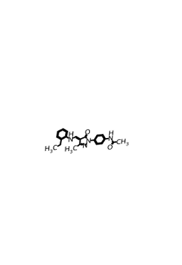 CCc1ccccc1N/C=C1/C(=O)N(c2ccc(NC(C)=O)cc2)N=C1C